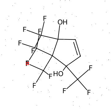 OC1(C(F)(F)F)C=CC(O)(C(F)(F)F)C1(C(F)(F)F)C(F)(F)F